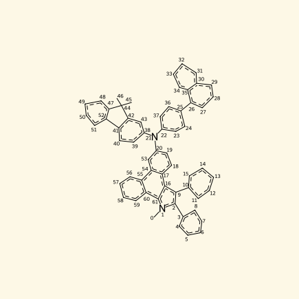 Cn1c(-c2ccccc2)c(-c2ccccc2)c2c3ccc(N(c4ccc(-c5cccc6ccccc56)cc4)c4ccc5c(c4)C(C)(C)c4ccccc4-5)cc3c3ccccc3c21